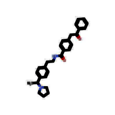 CC(c1ccc(CCNC(=O)c2ccc(CC(=O)c3ccccc3)cc2)cc1)N1CCCC1